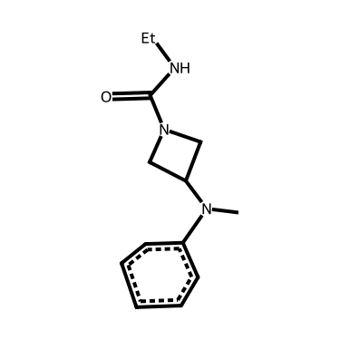 CCNC(=O)N1CC(N(C)c2ccccc2)C1